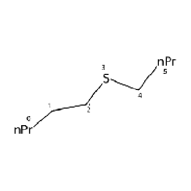 CCCC[CH]SCCCC